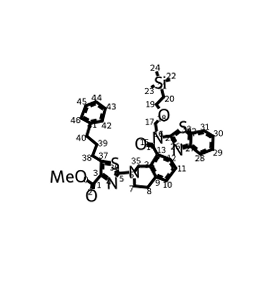 COC(=O)c1nc(N2CCc3cccc(C(=O)N(COCC[Si](C)(C)C)c4nc5ccccc5s4)c3C2)sc1CCCc1ccccc1